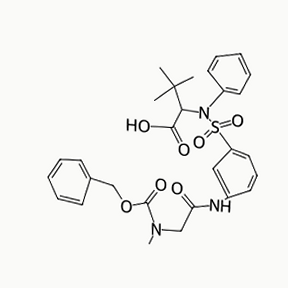 CN(CC(=O)Nc1cccc(S(=O)(=O)N(c2ccccc2)C(C(=O)O)C(C)(C)C)c1)C(=O)OCc1ccccc1